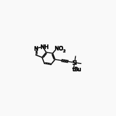 CC(C)(C)[Si](C)(C)C#Cc1ccc2cn[nH]c2c1[N+](=O)[O-]